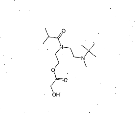 CC(C)C(=O)N(CCOC(=O)CO)CCN(C)C(C)(C)C